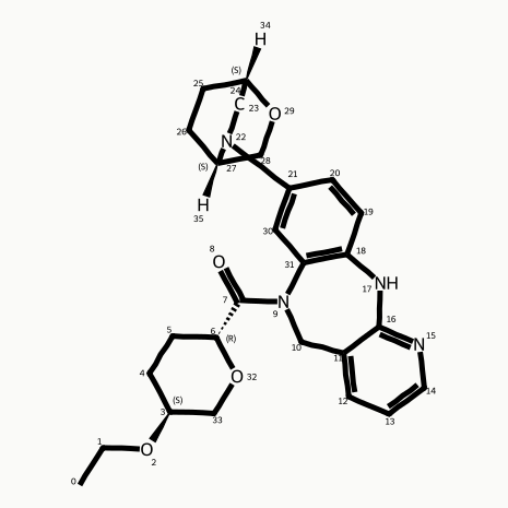 CCO[C@H]1CC[C@H](C(=O)N2Cc3cccnc3Nc3ccc(N4C[C@@H]5CC[C@H]4CO5)cc32)OC1